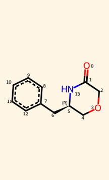 O=C1COC[C@@H](Cc2ccccc2)N1